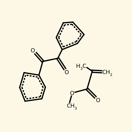 C=C(C)C(=O)OC.O=C(C(=O)c1ccccc1)c1ccccc1